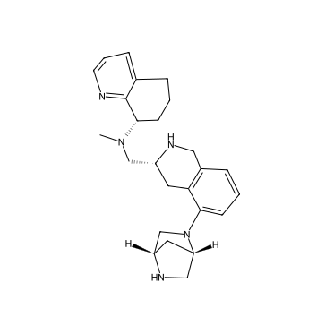 CN(C[C@H]1Cc2c(cccc2N2C[C@@H]3C[C@H]2CN3)CN1)[C@H]1CCCc2cccnc21